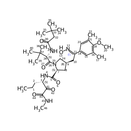 CCC[C@H](NC(=O)[C@@H]1C[C@H](C/C(=N\O)c2cc(C)c(OC)c(C)c2)CN1C(=O)[C@@H](NC(=O)CC(C)(C)C)C(C)(C)C)C(=O)C(=O)NC